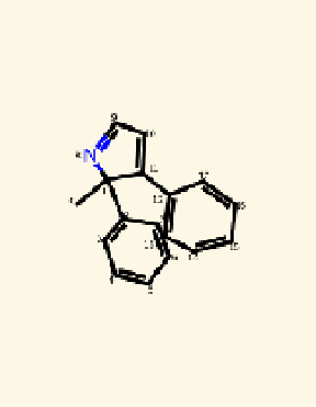 CC1(c2ccccc2)N=CC=C1c1ccccc1